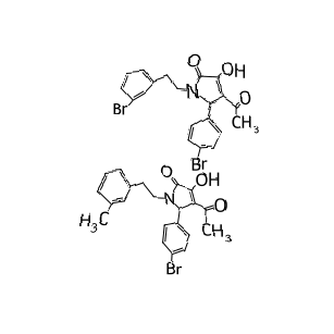 CC(=O)C1=C(O)C(=O)N(CCc2cccc(Br)c2)C1c1ccc(Br)cc1.CC(=O)C1=C(O)C(=O)N(CCc2cccc(C)c2)C1c1ccc(Br)cc1